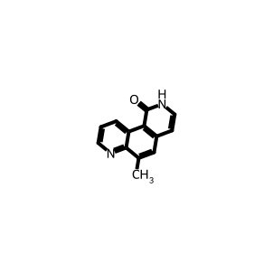 Cc1cc2cc[nH]c(=O)c2c2cccnc12